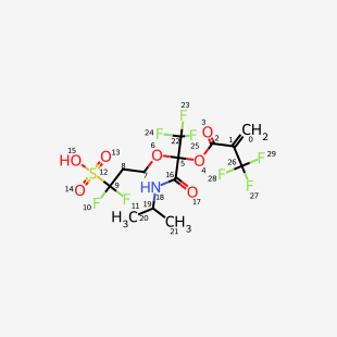 C=C(C(=O)OC(OCCC(F)(F)S(=O)(=O)O)(C(=O)NC(C)C)C(F)(F)F)C(F)(F)F